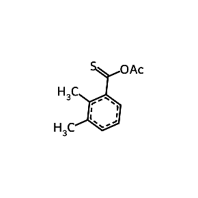 CC(=O)OC(=S)c1cccc(C)c1C